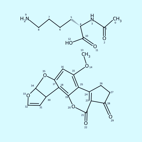 CC(=O)N[C@@H](CCCCN)C(=O)O.COc1cc2c(c3oc(=O)c4c(c13)CCC4=O)C1C=COC1O2